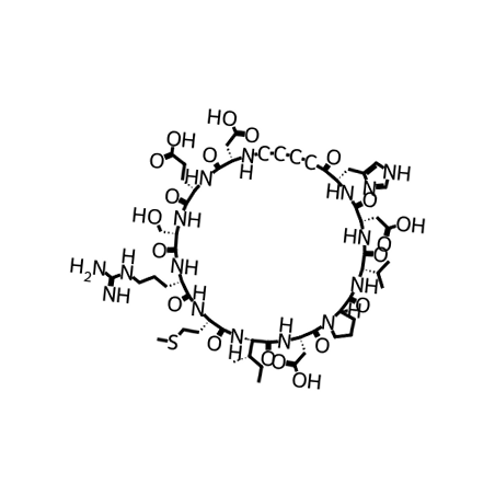 CC[C@H](C)[C@@H]1NC(=O)[C@H](CCSC)NC(=O)[C@H](CCCNC(=N)N)NC(=O)[C@H](CO)NC(=O)[C@H](CCC(=O)O)NC(=O)[C@H](CC(=O)O)NCCCCC(=O)[C@H](Cc2c[nH]cn2)NC(=O)[C@H](CC(=O)O)NC(=O)[C@H](C(C)C)NC(=O)[C@@H]2CCCN2C(=O)[C@H](CC(=O)O)NC1=O